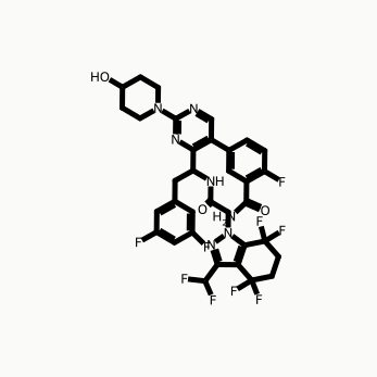 NC(=O)c1cc(-c2cnc(N3CCC(O)CC3)nc2C(Cc2cc(F)cc(F)c2)NC(=O)Cn2nc(C(F)F)c3c2C(F)(F)CCC3(F)F)ccc1F